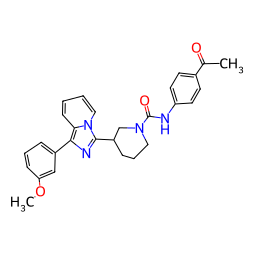 COc1cccc(-c2nc(C3CCCN(C(=O)Nc4ccc(C(C)=O)cc4)C3)n3ccccc23)c1